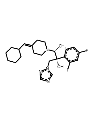 C[C@@H](N1CCC(=CC2CCCCC2)CC1)[C@](O)(Cn1cncn1)c1ccc(F)cc1F